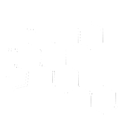 C[C@@H](N)C(=O)N(C(=O)C(CC(=O)N1CCOCC1)Cc1ccccc1)c1cscn1